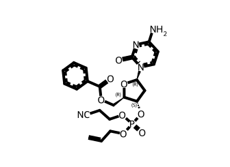 C=CCOP(=O)(OCCC#N)O[C@H]1C[C@H](n2ccc(N)nc2=O)O[C@@H]1COC(=O)c1ccccc1